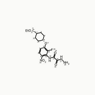 CCOC(=O)[C@H]1CC[C@H](Oc2ccc([N+](=O)[O-])c(NC(=O)C(=O)NN)c2F)CC1